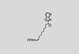 CCCCCC/C=C\CCCCCCCC(=O)c1nc2ncccc2o1